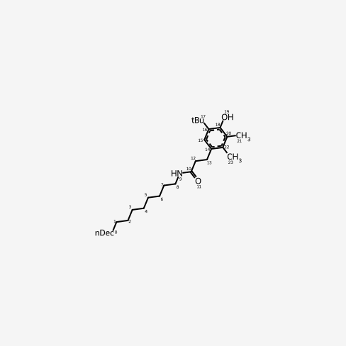 CCCCCCCCCCCCCCCCCCNC(=O)CCc1cc(C(C)(C)C)c(O)c(C)c1C